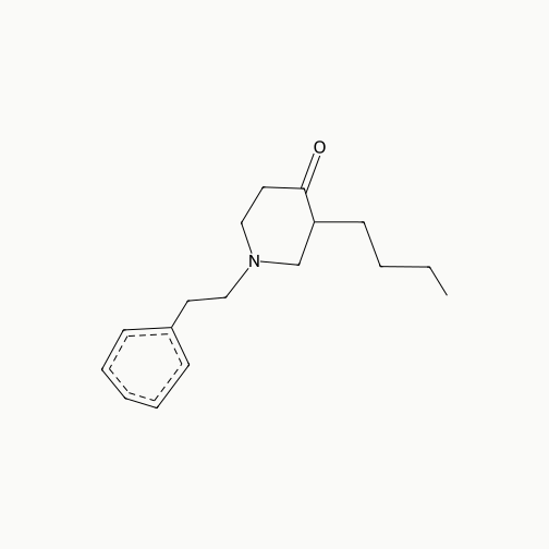 CCCCC1CN(CCc2ccccc2)CCC1=O